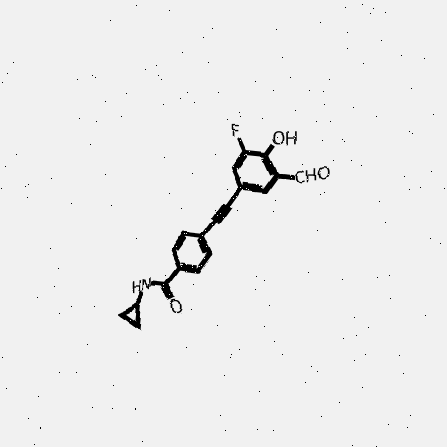 O=Cc1cc(C#Cc2ccc(C(=O)NC3CC3)cc2)cc(F)c1O